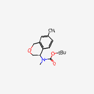 CN(C(=O)OC(C)(C)C)C1COCc2cc(C#N)ccc21